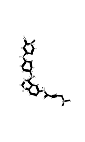 CN(C)CC#CC(=O)Nc1ccc2ncnc(Nc3ccc(Oc4ccn(C)c(=O)c4)cc3)c2c1